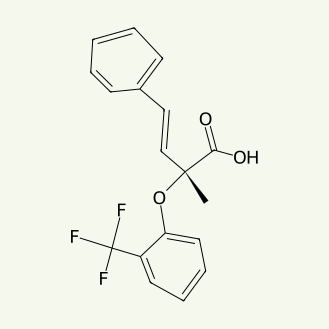 C[C@](C=Cc1ccccc1)(Oc1ccccc1C(F)(F)F)C(=O)O